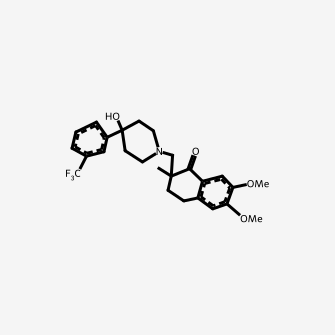 COc1cc2c(cc1OC)C(=O)C(C)(CN1CCC(O)(c3cccc(C(F)(F)F)c3)CC1)CC2